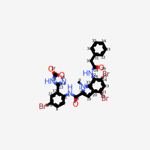 Cn1c(C(=O)Nc2ccc(Br)cc2-c2noc(=O)[nH]2)cc2c(Br)cc(Br)c(NC(=O)Cc3ccccc3)c21